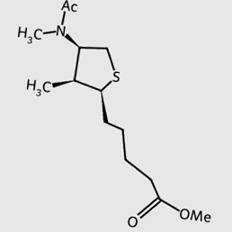 COC(=O)CCCC[C@@H]1SC[C@H](N(C)C(C)=O)[C@@H]1C